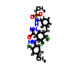 CCS(=O)(=O)Nc1cccc(Cc2cc(C(N)=O)c(Nc3ccc(C)cc3F)c(F)c2F)c1